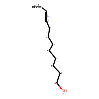 CCCCC/C=C/CCCCCCCCO